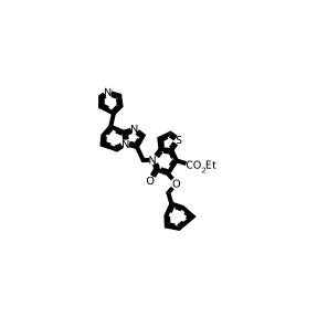 CCOC(=O)c1c(OCc2ccccc2)c(=O)n(Cc2cnc3c(-c4ccncc4)cccn23)c2ccsc12